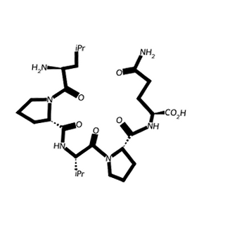 CC(C)C[C@H](N)C(=O)N1CCC[C@H]1C(=O)N[C@H](C(=O)N1CCC[C@H]1C(=O)N[C@@H](CCC(N)=O)C(=O)O)C(C)C